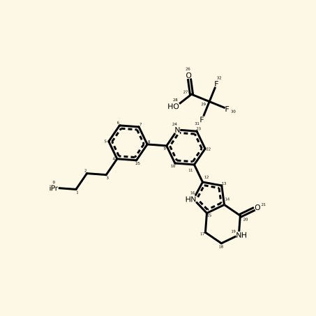 CC(C)CCCc1cccc(-c2cc(-c3cc4c([nH]3)CCNC4=O)ccn2)c1.O=C(O)C(F)(F)F